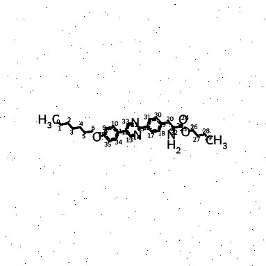 CCCCCCCOc1ccc(-c2cnc(-c3ccc(CC(N)C(=O)OCCCC)cc3)nc2)cc1